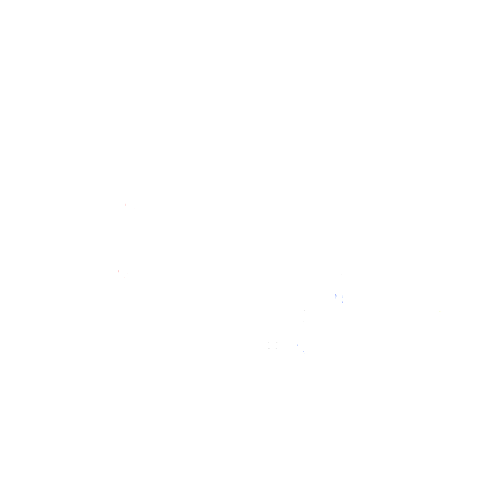 COC(=O)CCc1cnc(N2CC[C@H](F)C2)s1